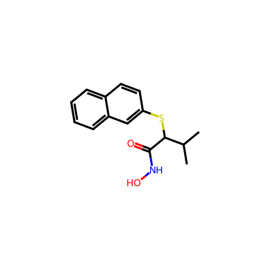 CC(C)C(Sc1ccc2ccccc2c1)C(=O)NO